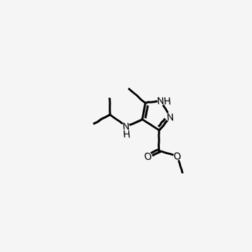 COC(=O)c1n[nH]c(C)c1NC(C)C